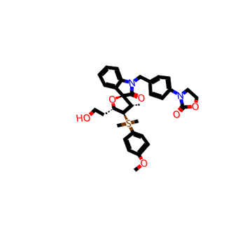 COc1ccc(S(C)(C)[C@H]2[C@H](CCO)O[C@@]3(C(=O)N(Cc4ccc(N5CCOC5=O)cc4)c4ccccc43)[C@@H]2C)cc1